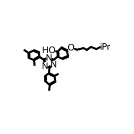 Cc1ccc(-c2nc(-c3ccc(C)cc3C)nc(-c3ccc(OCCCCCC(C)C)cc3O)n2)c(C)c1